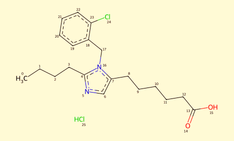 CCCCc1ncc(CCCCCC(=O)O)n1Cc1ccccc1Cl.Cl